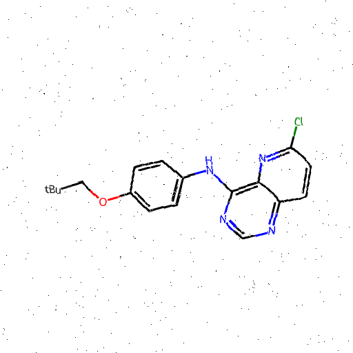 CC(C)(C)COc1ccc(Nc2ncnc3ccc(Cl)nc23)cc1